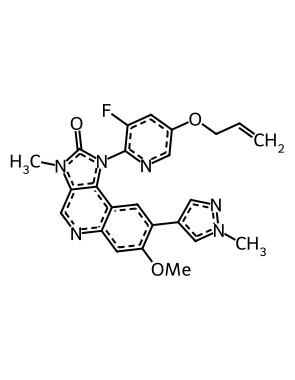 C=CCOc1cnc(-n2c(=O)n(C)c3cnc4cc(OC)c(-c5cnn(C)c5)cc4c32)c(F)c1